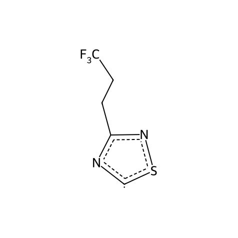 FC(F)(F)CCc1n[c]sn1